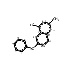 Cc1nc(Cl)c2nc(Oc3ccccc3)ncc2n1